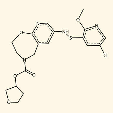 COc1ncc(Cl)cc1SNc1cnc2c(c1)CN(C(=O)OC1CCOC1)CCO2